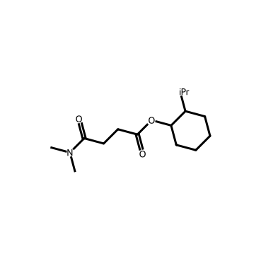 CC(C)C1CCCCC1OC(=O)CCC(=O)N(C)C